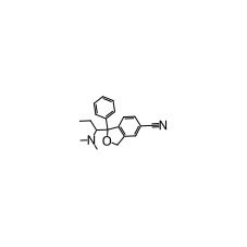 CCC(N(C)C)C1(c2ccccc2)OCc2cc(C#N)ccc21